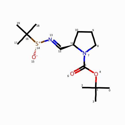 CC(C)(C)OC(=O)N1CCC[C@@H]1C=N[S@+]([O-])C(C)(C)C